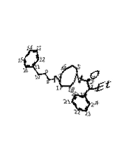 CCC(C(=O)N1CCN(CCCc2ccccc2)CC1)c1ccccc1